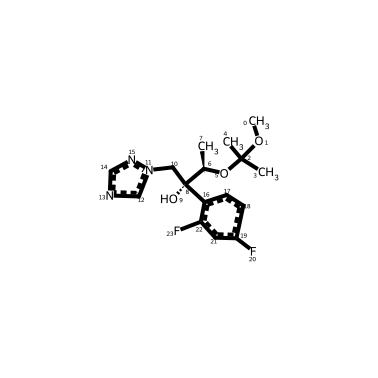 COC(C)(C)O[C@H](C)[C@](O)(Cn1cncn1)c1ccc(F)cc1F